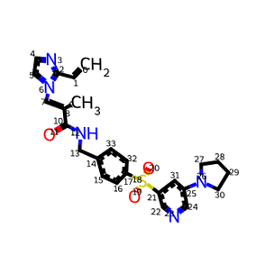 C=Cc1nccn1/C=C(\C)C(=O)NCc1ccc(S(=O)(=O)c2cncc(N3CCCC3)c2)cc1